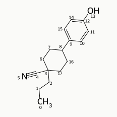 CCCC1(C#N)CCC(c2ccc(O)cc2)CC1